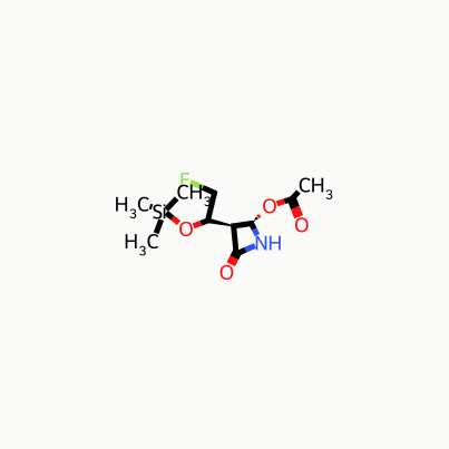 CC(=O)O[C@@H]1NC(=O)[C@H]1C(CF)O[Si](C)(C)C